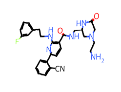 N#Cc1ccccc1-c1ccc(C(=O)NC[C@@H]2CN(CCN)CC(=O)N2)c(NCCc2cccc(F)c2)n1